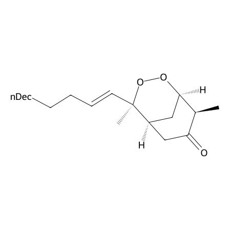 CCCCCCCCCCCC/C=C/[C@@]1(C)OO[C@@H]2C[C@H]1CC(=O)[C@@H]2C